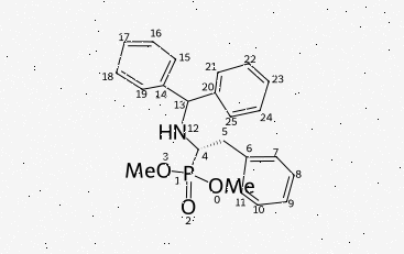 COP(=O)(OC)[C@@H](Cc1ccccc1)NC(c1ccccc1)c1ccccc1